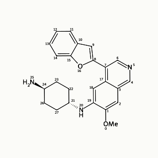 COc1cc2cncc(-c3cc4ccccc4o3)c2cc1N[C@H]1CC[C@H](N)CC1